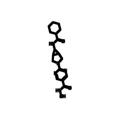 O=C(NO)c1cnc(N2CC3C(C2)C3NC(=O)C2CCCCC2)nc1